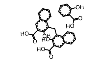 O=C(O)c1cc2ccccc2c(Cc2c(O)c(C(=O)O)cc3ccccc23)c1O.O=C(O)c1ccccc1O